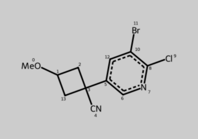 COC1CC(C#N)(c2cnc(Cl)c(Br)c2)C1